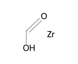 O=CO.[Zr]